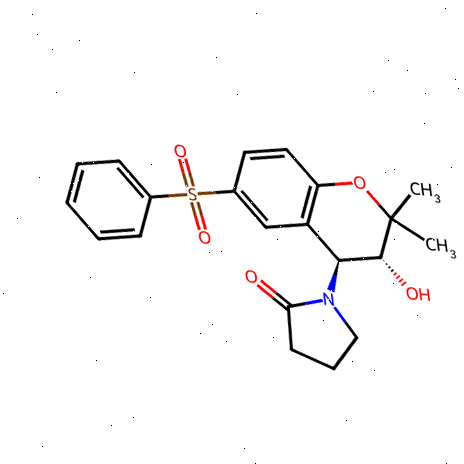 CC1(C)Oc2ccc(S(=O)(=O)c3ccccc3)cc2[C@H](N2CCCC2=O)[C@H]1O